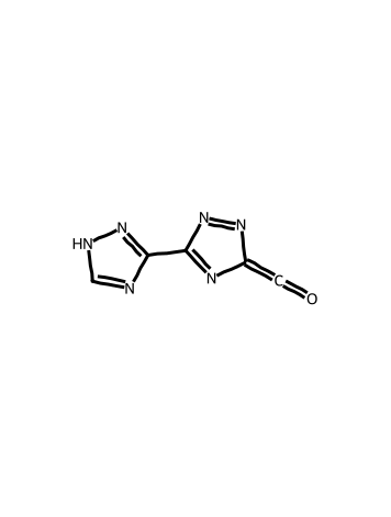 O=C=C1N=NC(c2nc[nH]n2)=N1